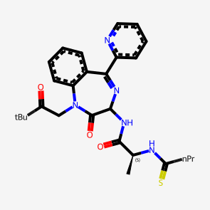 CCCC(=S)N[C@@H](C)C(=O)NC1N=C(c2ccccn2)c2ccccc2N(CC(=O)C(C)(C)C)C1=O